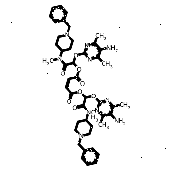 Cc1nc(OC(OC(=O)/C=C\C(=O)OC(Oc2nc(C)c(N)c(C)n2)C(=O)N(C)C2CCN(Cc3ccccc3)CC2)C(=O)N(C)C2CCN(Cc3ccccc3)CC2)nc(C)c1N